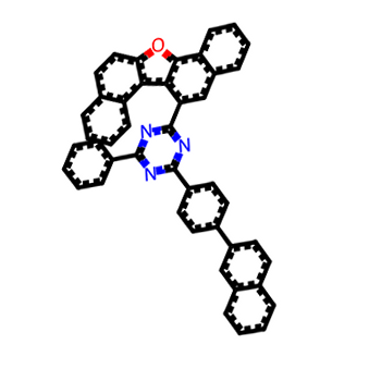 c1ccc(-c2nc(-c3ccc(-c4ccc5ccccc5c4)cc3)nc(-c3cc4ccccc4c4oc5ccc6ccccc6c5c34)n2)cc1